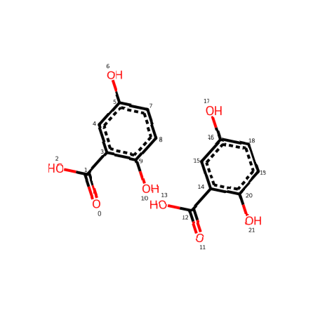 O=C(O)c1cc(O)ccc1O.O=C(O)c1cc(O)ccc1O